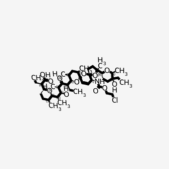 CC[C@@H](C(=O)[C@@H](C)[C@@H](O)[C@H](C)[C@@H]1O[C@@H]([C@@H](CC)C(=O)O)CC[C@@H]1C)[C@H]1O[C@]2(C=C[C@@H](NC(=O)OCCCl)[C@]3(CC[C@@](C)([C@H]4CC[C@](O)(CC)[C@H](C)O4)O3)O2)[C@H](C)C[C@@H]1C